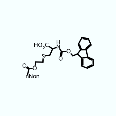 CCCCCCCCCC(=O)OCCSCC(NC(=O)OCC1c2ccccc2-c2ccccc21)C(=O)O